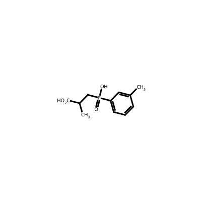 Cc1cccc(P(=O)(O)CC(C)C(=O)O)c1